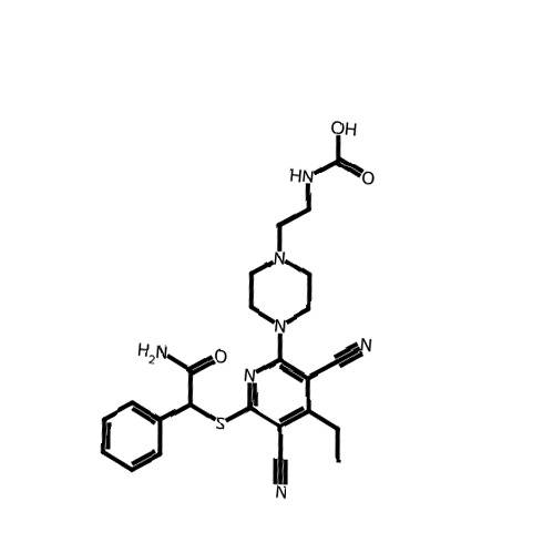 CCc1c(C#N)c(SC(C(N)=O)c2ccccc2)nc(N2CCN(CCNC(=O)O)CC2)c1C#N